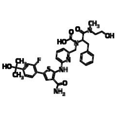 CN(CCO)C(=O)C(Cc1ccccc1)N(Cc1cccc(Nc2sc(-c3ccc(C(C)(C)O)cc3F)cc2C(N)=O)n1)C(=O)O